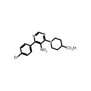 CCOC(=O)C1CCN(c2ncnc(-c3ccc(CC)cc3)c2[N+](=O)[O-])CC1